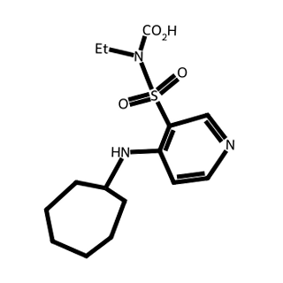 CCN(C(=O)O)S(=O)(=O)c1cnccc1NC1CCCCCC1